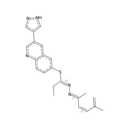 C=C(C)\C=C/C(C)=N/N=C(\CC)Sc1ccc2ncc(-c3cn[nH]c3)cc2c1